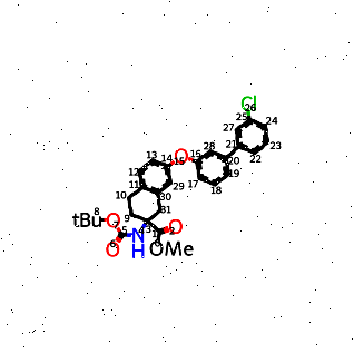 COC(=O)C1(NC(=O)OC(C)(C)C)CCc2ccc(Oc3cccc(-c4cccc(Cl)c4)c3)cc2C1